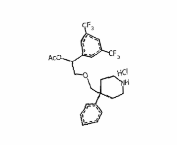 CC(=O)OC(COCC1(c2ccccc2)CCNCC1)c1cc(C(F)(F)F)cc(C(F)(F)F)c1.Cl